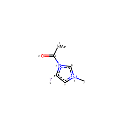 CNC(=O)n1cc[n+](C)c1.[I-]